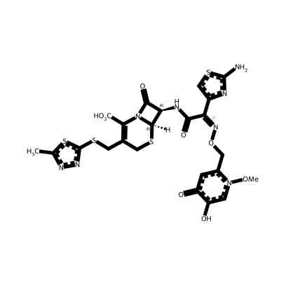 COn1cc(O)c(=O)cc1CO/N=C(\C(=O)N[C@@H]1C(=O)N2C(C(=O)O)=C(CSc3nnc(C)s3)CS[C@H]12)c1csc(N)n1